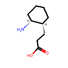 N[C@@H]1CCCC[C@@H]1CCC(=O)O